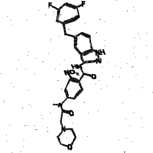 CN(C(=O)CN1CCOCC1)c1ccc(C(=O)Nc2n[nH]c3ccc(Cc4cc(F)cc(F)c4)cc23)c([N+](=O)[O-])c1